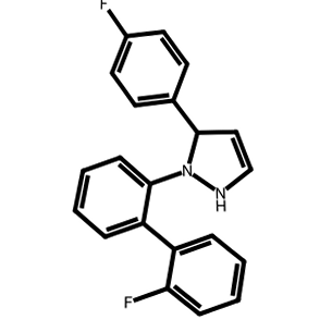 Fc1ccc(C2C=CNN2c2ccccc2-c2ccccc2F)cc1